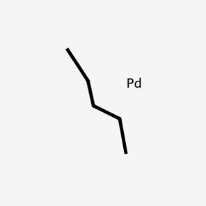 CCCCC.[Pd]